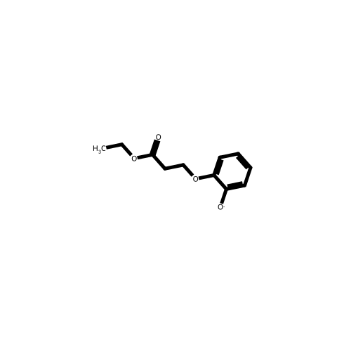 CCOC(=O)CCOc1ccccc1[O]